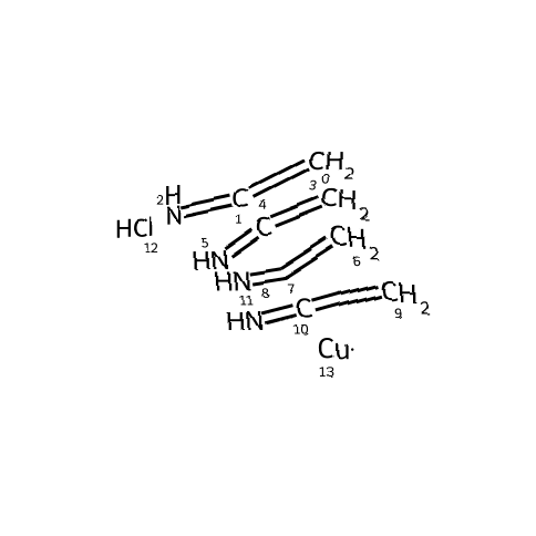 C=C=N.C=C=N.C=C=N.C=C=N.Cl.[Cu]